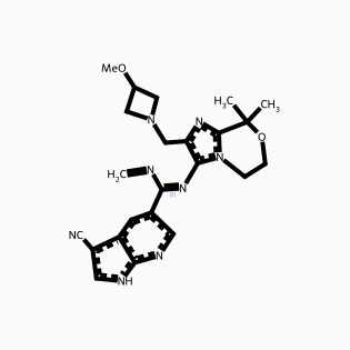 C=N/C(=N\c1c(CN2CC(OC)C2)nc2n1CCOC2(C)C)c1cnc2[nH]cc(C#N)c2c1